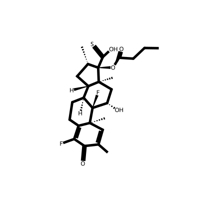 CCCC(=O)O[C@]1(C(O)=S)[C@@H](C)C[C@H]2[C@@H]3CCC4=C(F)C(=O)C(C)=C[C@]4(C)[C@@]3(F)[C@@H](O)C[C@@]21C